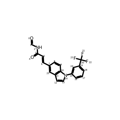 O=CNC(=O)C=Cc1ccc2c(ccn2-c2cccc(C(F)(F)F)c2)c1